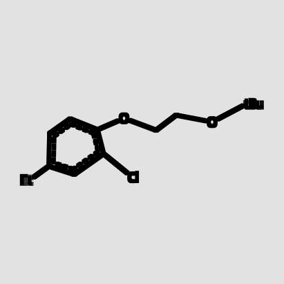 CCc1ccc(OCCOC(C)(C)C)c(Cl)c1